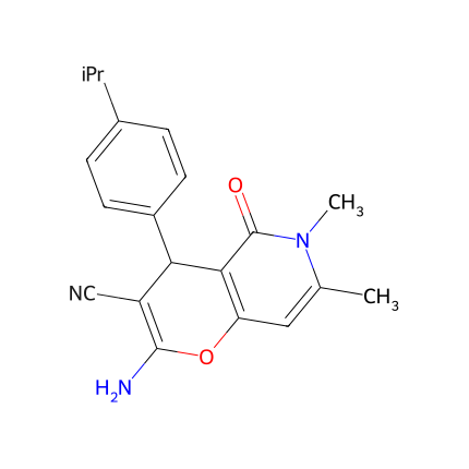 Cc1cc2c(c(=O)n1C)C(c1ccc(C(C)C)cc1)C(C#N)=C(N)O2